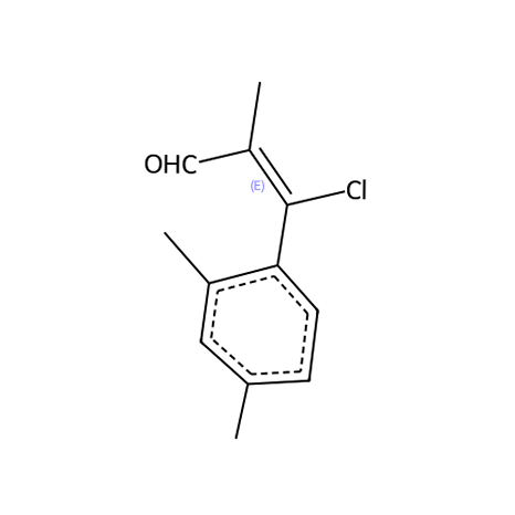 C/C(C=O)=C(\Cl)c1ccc(C)cc1C